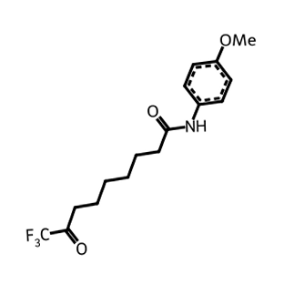 COc1ccc(NC(=O)CCCCCCC(=O)C(F)(F)F)cc1